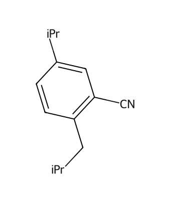 CC(C)Cc1ccc(C(C)C)cc1C#N